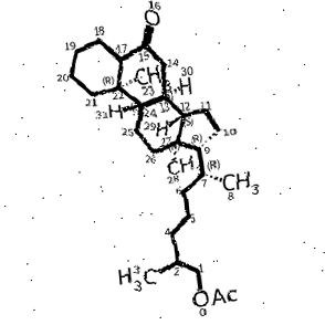 CC(=O)OCC(C)CCC[C@@H](C)[C@H]1CC[C@H]2[C@@H]3CC(=O)C4CCCC[C@]4(C)[C@H]3CC[C@]12C